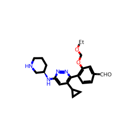 CCOCOc1cc(C=O)ccc1-c1nnc(N[C@@H]2CCCNC2)cc1C1CC1